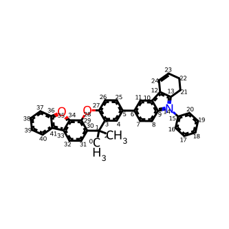 CC1(C)c2cc(-c3ccc4c(c3)c3c(n4-c4ccccc4)CCC=C3)ccc2Oc2c1ccc1c2oc2ccccc21